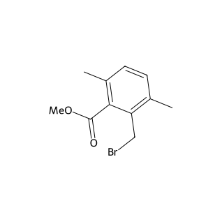 COC(=O)c1c(C)ccc(C)c1CBr